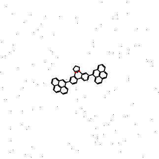 c1cc2ccc3cccc4c(-c5ccc6c(c5)C57CCCC5(CCC7)c5cc(-c7cc8cccc9ccc%10cccc7c%10c98)ccc5-6)cc(c1)c2c34